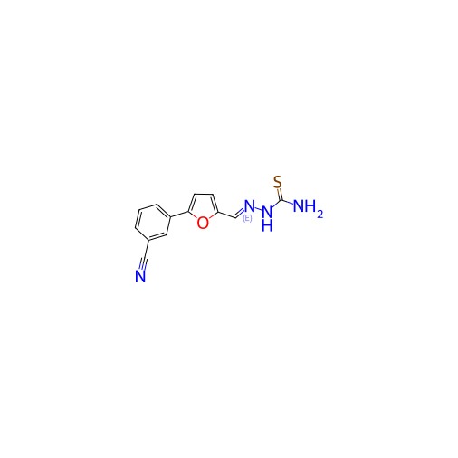 N#Cc1cccc(-c2ccc(/C=N/NC(N)=S)o2)c1